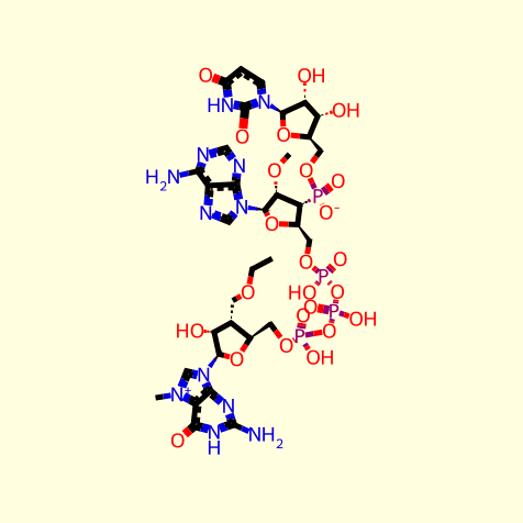 CCOC[C@H]1[C@@H](O)[C@H](n2c[n+](C)c3c(=O)[nH]c(N)nc32)O[C@@H]1COP(=O)(O)OP(=O)(O)OP(=O)(O)OC[C@H]1O[C@@H](n2cnc3c(N)ncnc32)[C@H](OC)[C@@H]1P(=O)([O-])OC[C@H]1O[C@@H](n2ccc(=O)[nH]c2=O)[C@H](O)[C@@H]1O